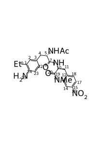 CCc1cc(C[C@H](NC(C)=O)C(=O)N[C@@H](Cc2ccc([N+](=O)[O-])cc2)C(=O)NC)ccc1N